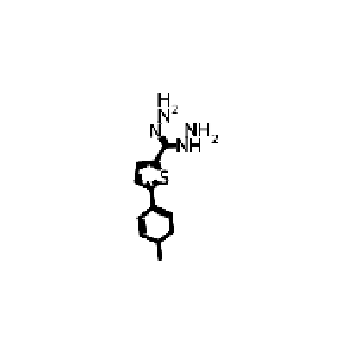 CC1C=CC(c2ccc(/C(=N/N)NN)s2)=CC1